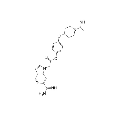 CC(=N)N1CCC(Oc2ccc(OC(=O)Cn3ccc4ccc(C(=N)N)cc43)cc2)CC1